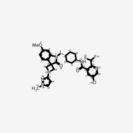 COc1ccc2c(c1)N(C[C@H]1CC[C@H](NC(=O)c3cc(Cl)cnc3C(F)F)CC1)C(=O)C21CN(c2ccn(C)n2)C1